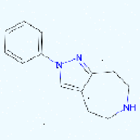 c1ccc(-n2cc3c(n2)CCNCC3)cc1